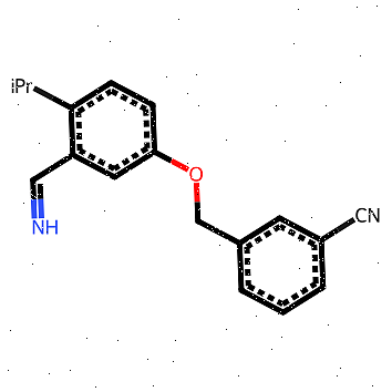 CC(C)c1ccc(OCc2cccc(C#N)c2)cc1C=N